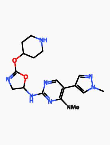 CNc1nc(NC2CN=C(OC3CCNCC3)O2)ncc1-c1cnn(C)c1